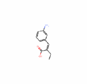 CCC(=Cc1cccc(N)c1)C(=O)O